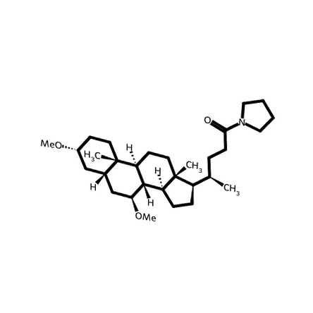 CO[C@@H]1CC[C@@]2(C)[C@@H](C1)C[C@H](OC)[C@@H]1[C@@H]2CC[C@]2(C)[C@@H]([C@H](C)CCC(=O)N3CCCC3)CC[C@@H]12